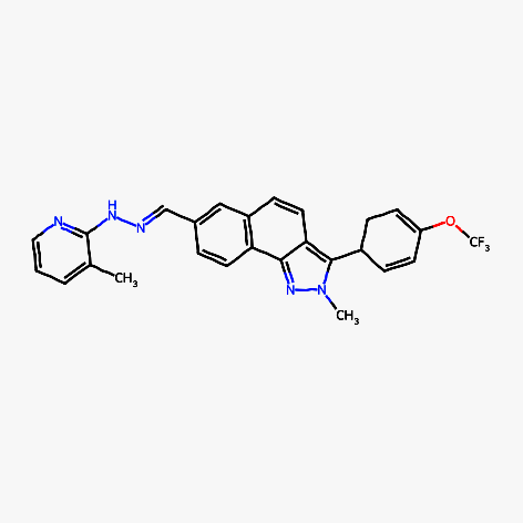 Cc1cccnc1N/N=C/c1ccc2c(ccc3c(C4C=CC(OC(F)(F)F)=CC4)n(C)nc32)c1